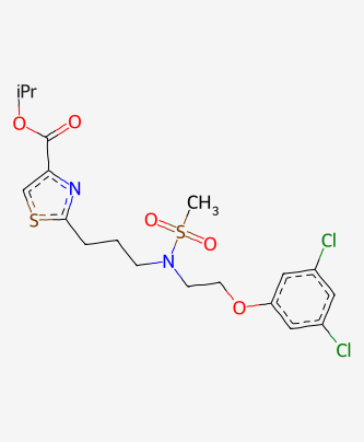 CC(C)OC(=O)c1csc(CCCN(CCOc2cc(Cl)cc(Cl)c2)S(C)(=O)=O)n1